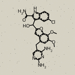 COc1cc(Cc2cnc(N)nc2N)c2cc(C(O)c3c(C(N)=O)[nH]c4ccc(Cl)cc34)oc2c1OC